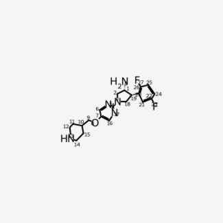 N[C@H]1CN(c2ncc(OCC3CCNCC3)cn2)C[C@@H]1c1cc(F)ccc1F